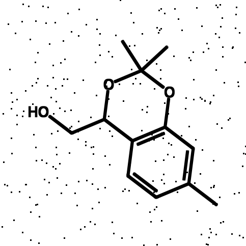 Cc1ccc2c(c1)OC(C)(C)OC2CO